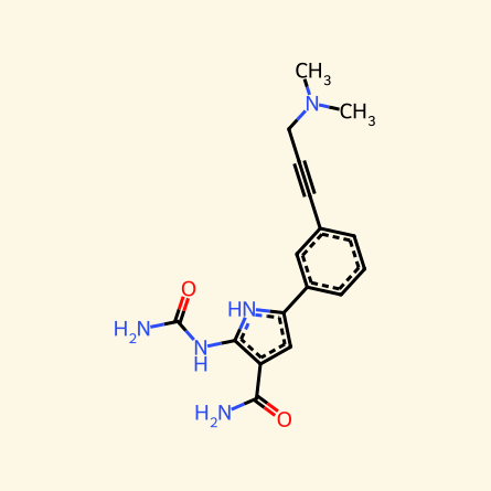 CN(C)CC#Cc1cccc(-c2cc(C(N)=O)c(NC(N)=O)[nH]2)c1